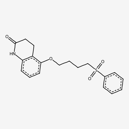 O=C1CCc2c(cccc2OCCCCS(=O)(=O)c2ccccc2)N1